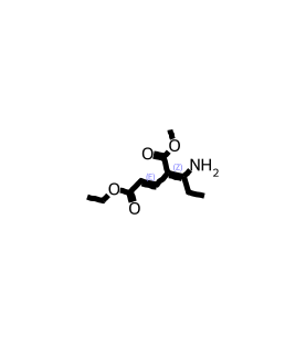 CCOC(=O)/C=C/C(C(=O)OC)=C(/N)CC